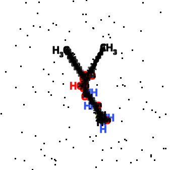 CCCCCCCCCCCCCCCC(=O)OCC(COP(=O)(O)OCCNC(=O)CCCCCNC(=O)CCCCC1SC[C@@H]2NC(=O)N[C@H]12)OC(=O)CCCCCCCCCCCCCCC